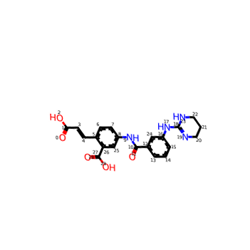 O=C(O)C=Cc1ccc(NC(=O)c2cccc(NC3=NCCCN3)c2)cc1C(=O)O